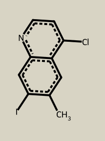 Cc1cc2c(Cl)ccnc2cc1I